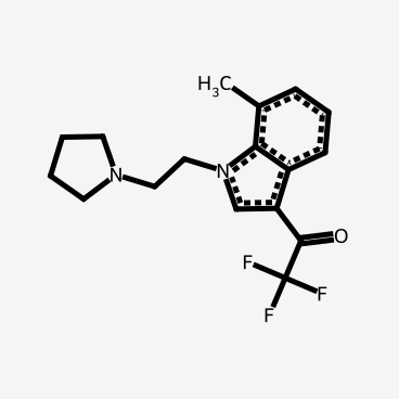 Cc1cccc2c(C(=O)C(F)(F)F)cn(CCN3CCCC3)c12